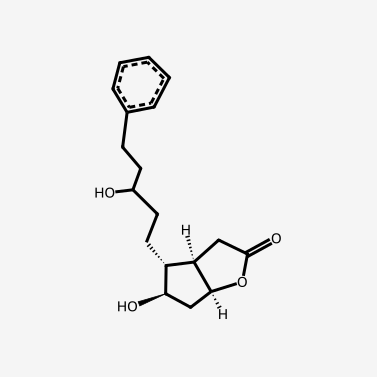 O=C1C[C@@H]2[C@@H](CCC(O)CCc3ccccc3)[C@H](O)C[C@@H]2O1